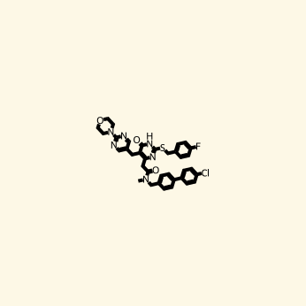 CN(Cc1ccc(-c2ccc(Cl)cc2)cc1)C(=O)Cc1nc(SCc2ccc(F)cc2)[nH]c(=O)c1Cc1cnc(N2CCOCC2)nc1